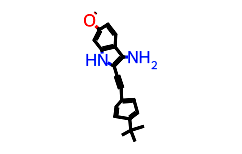 COc1ccc2c(N)c(C#Cc3ccc(C(C)(C)C)cc3)[nH]c2c1